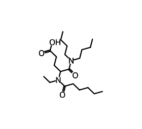 CCCCCC(=O)N(CC)C(CCC(=O)O)C(=O)N(CCCC)CCCC